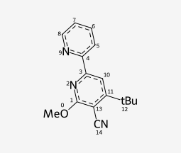 COc1nc(-c2ccccn2)cc(C(C)(C)C)c1C#N